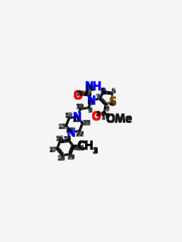 COC(=O)c1sccc1N(CCN1CCN(c2ccccc2C)CC1)C(N)=O